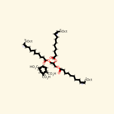 CCCCCCCC/C=C\CCCCCCCC(=O)OCC(COC(=O)CCCCCCC/C=C\CCCCCCCC)OC(=O)CCCCCCC/C=C\CCCCCCCC.O=C(O)c1ccc(C(=O)O)c(C(=O)O)c1